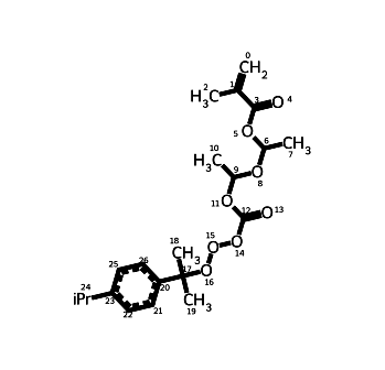 C=C(C)C(=O)OC(C)OC(C)OC(=O)OOOC(C)(C)c1ccc(C(C)C)cc1